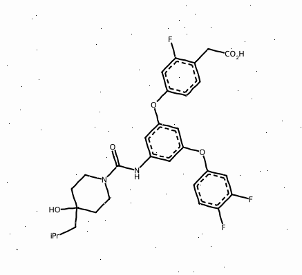 CC(C)CC1(O)CCN(C(=O)Nc2cc(Oc3ccc(F)c(F)c3)cc(Oc3ccc(CC(=O)O)c(F)c3)c2)CC1